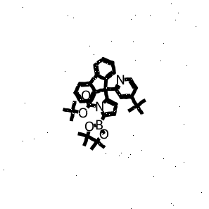 CC(C)(C)OC(=O)n1c(B2OC(C)(C)C(C)(C)O2)ccc1C1(c2cc(C(C)(C)C)ccn2)c2ccccc2-c2ccccc21